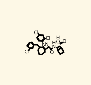 O=C(N[C@H]1C2CCC(C2)[C@H]1C(=O)O)c1nn(-c2ccc(Cl)cc2Cl)c2c1CCCCC2Cc1cccc(Cl)c1